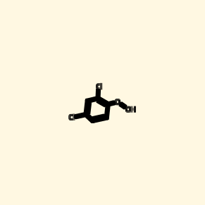 OOc1ccc(Cl)cc1Cl